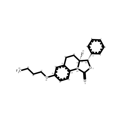 O=C1O[C@@H](c2ccccc2)[C@@H]2CCc3cc(OCCCC(F)(F)F)ccc3N12